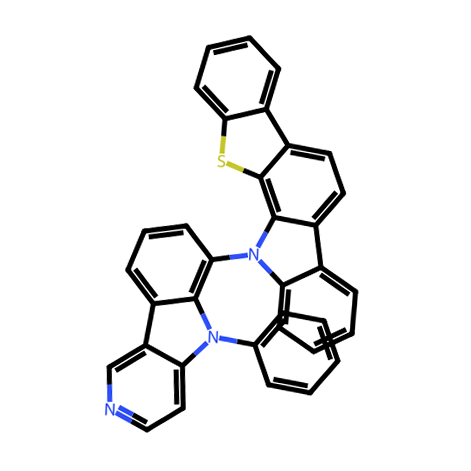 c1ccc(-n2c3ccncc3c3cccc(-n4c5ccccc5c5ccc6c7ccccc7sc6c54)c32)cc1